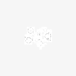 CC(C)(C)NC(=O)C1c2cncnc2OCCN1Cc1ccccc1-c1ncccn1